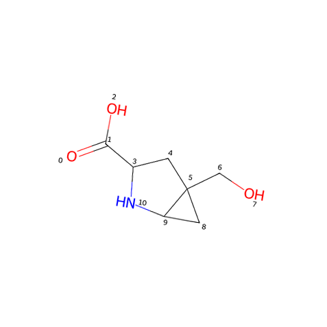 O=C(O)C1CC2(CO)CC2N1